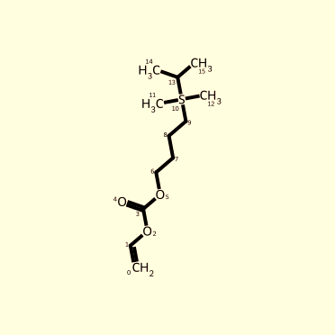 C=COC(=O)OCCCCS(C)(C)C(C)C